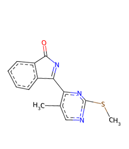 CSc1ncc(C)c(C2=NC(=O)c3ccccc32)n1